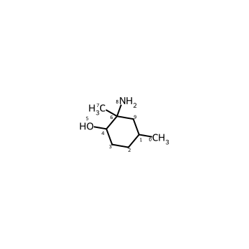 CC1CCC(O)C(C)(N)C1